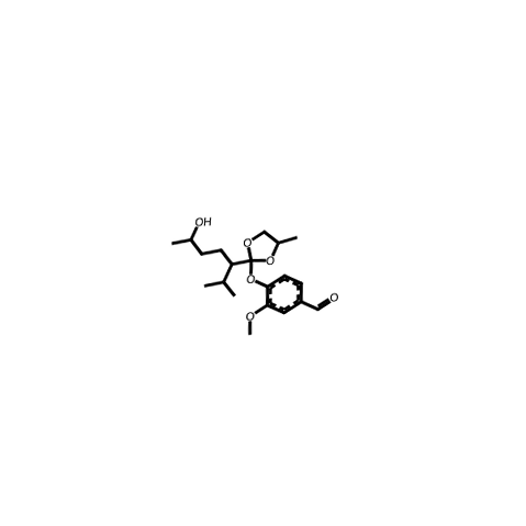 COc1cc(C=O)ccc1OC1(C(CCC(C)O)C(C)C)OCC(C)O1